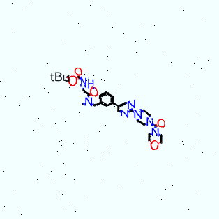 CN(Cc1cccc(-c2cnc(N3CCN(C(=O)N4CCOCC4)CC3)nc2)c1)C(=O)CNC(=O)OC(C)(C)C